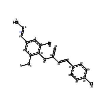 COc1cc(/C=N/O)cc(Br)c1OC(=O)C=Cc1ccc(Cl)cc1